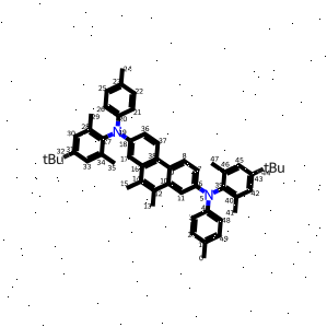 Cc1ccc(N(c2ccc3c(c2)c(C)c(C)c2cc(N(c4ccc(C)cc4)c4c(C)cc(C(C)(C)C)cc4C)ccc23)c2c(C)cc(C(C)(C)C)cc2C)cc1